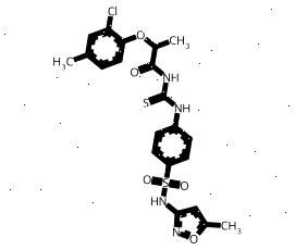 Cc1ccc(OC(C)C(=O)NC(=S)Nc2ccc(S(=O)(=O)Nc3cc(C)on3)cc2)c(Cl)c1